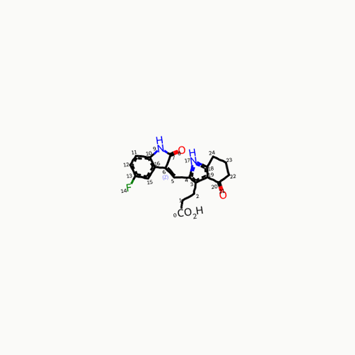 O=C(O)CCc1c(/C=C2\C(=O)Nc3ccc(F)cc32)[nH]c2c1C(=O)CCC2